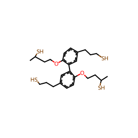 CC(S)CCOc1ccc(CCCS)cc1-c1cc(CCCS)ccc1OCCC(C)S